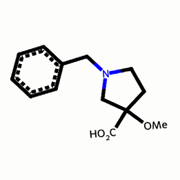 COC1(C(=O)O)CCN(Cc2ccccc2)C1